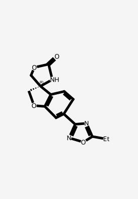 CCc1nc(-c2ccc3c(c2)OC[C@@]32COC(=O)N2)no1